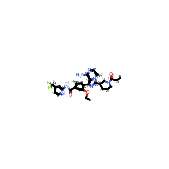 CCOc1cc(C(=O)Nc2cc(C(F)(F)F)ccn2)c(F)cc1-c1nc(C2CCCN(C(=O)CC)C2)n2c(F)cnc(N)c12